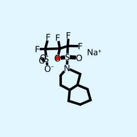 O=S(=O)([O-])C(F)(F)C(F)(F)C(F)(F)S(=O)(=O)N1CCC2CCCCC2C1.[Na+]